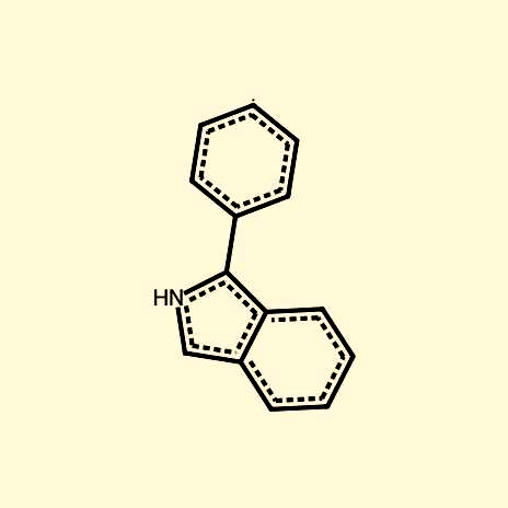 [c]1ccc(-c2[nH]cc3ccccc23)cc1